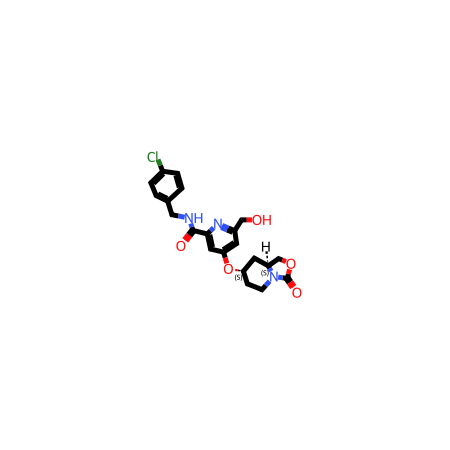 O=C(NCc1ccc(Cl)cc1)c1cc(O[C@H]2CCN3C(=O)OC[C@@H]3C2)cc(CO)n1